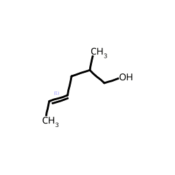 C/C=C/CC(C)CO